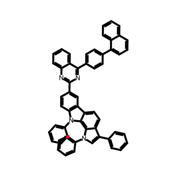 c1ccc(-c2cn(-c3ccccc3)c3c2ccc2c4cc(-c5nc(-c6ccc(-c7cccc8ccccc78)cc6)c6ccccc6n5)ccc4n(-c4ccccc4)c23)cc1